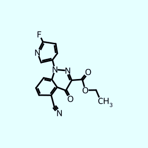 CCOC(=O)c1nn(-c2ccc(F)nc2)c2cccc(C#N)c2c1=O